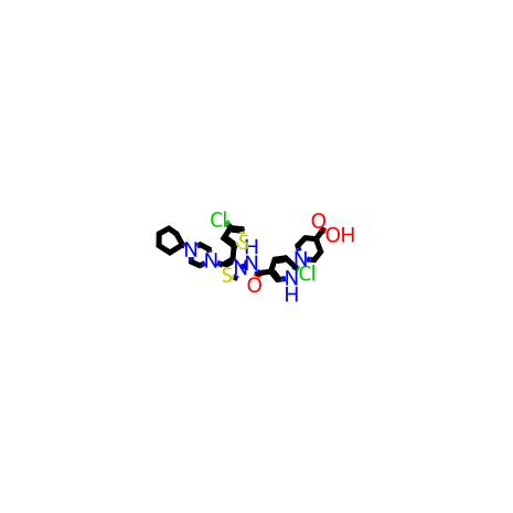 O=C(NN1CSC(N2CCN(C3CCCCC3)CC2)=C1c1cc(Cl)cs1)C1=CNC(Cl)(N2CCC(C(=O)O)CC2)C=C1